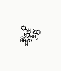 Nc1c2c(-c3cc4ccccc4s3)nn(-c3ccccc3)c2nc2c(=O)[nH][nH]c(=O)c12